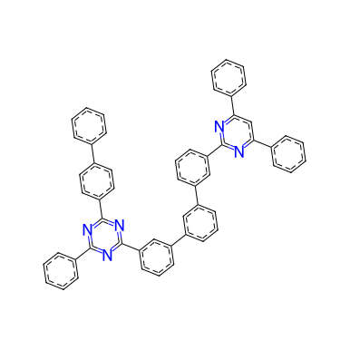 c1ccc(-c2ccc(-c3nc(-c4ccccc4)nc(-c4cccc(-c5cccc(-c6cccc(-c7nc(-c8ccccc8)cc(-c8ccccc8)n7)c6)c5)c4)n3)cc2)cc1